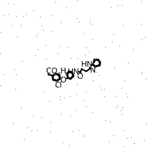 O=C(O)Cc1ccc(Oc2ccc(NC(=O)CCc3nc4ccccc4[nH]3)cc2)c(Cl)c1